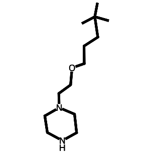 CC(C)(C)CCCOCCN1CCNCC1